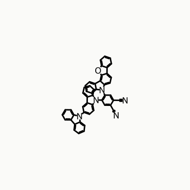 N#Cc1cc(-n2c3ccccc3c3cc(-n4c5ccccc5c5ccccc54)ccc32)c(-n2c3ccccc3c3c4oc5ccccc5c4ccc32)cc1C#N